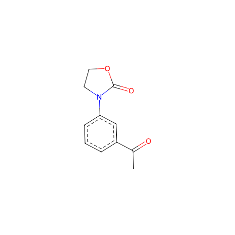 CC(=O)c1cccc(N2CCOC2=O)c1